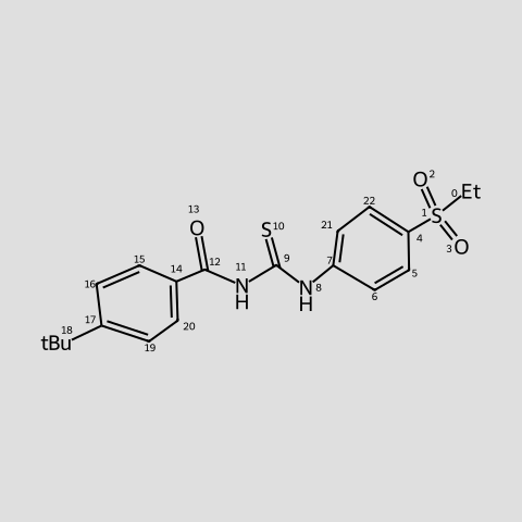 CCS(=O)(=O)c1ccc(NC(=S)NC(=O)c2ccc(C(C)(C)C)cc2)cc1